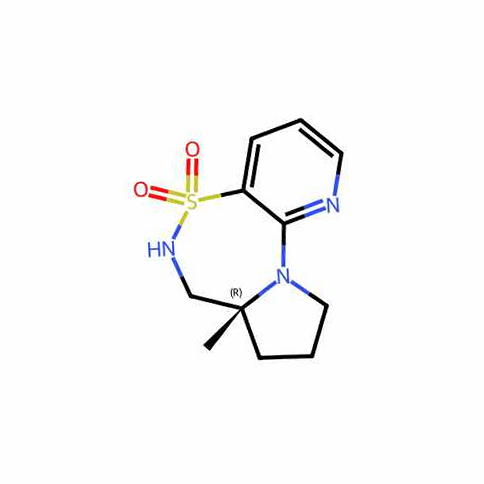 C[C@]12CCCN1c1ncccc1S(=O)(=O)NC2